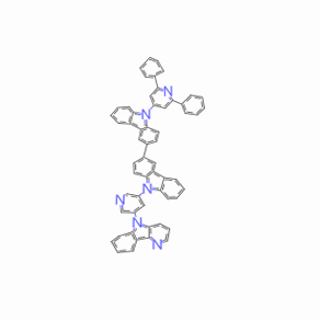 c1ccc(-c2cc(-n3c4ccccc4c4cc(-c5ccc6c(c5)c5ccccc5n6-c5cncc(-n6c7ccccc7c7ncccc76)c5)ccc43)cc(-c3ccccc3)n2)cc1